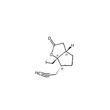 C#CC[C@H]1CC[C@H]2CC(=O)O[C@@]12CI